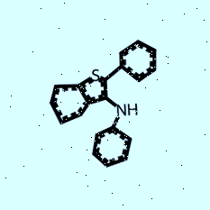 c1ccc(Nc2c(-c3ccccc3)sc3ccccc23)cc1